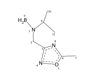 BN(Cc1noc(C)n1)C(C)C